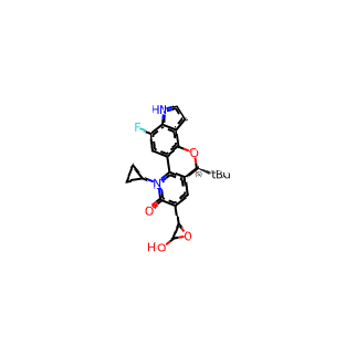 CC(C)(C)[C@@H]1Oc2c(cc(F)c3[nH]ccc23)-c2c1cc(C1OC1O)c(=O)n2C1CC1